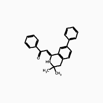 CC1(C)Cc2ccc(-c3ccccc3)cc2C(=CC(=O)c2ccccc2)N1